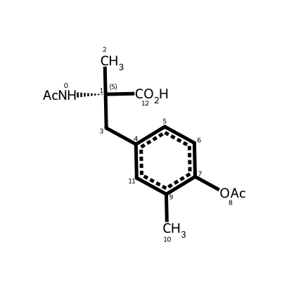 CC(=O)N[C@@](C)(Cc1ccc(OC(C)=O)c(C)c1)C(=O)O